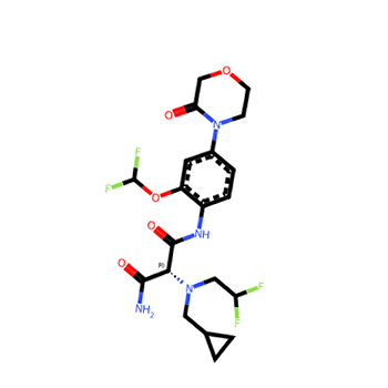 NC(=O)[C@H](C(=O)Nc1ccc(N2CCOCC2=O)cc1OC(F)F)N(CC(F)F)CC1CC1